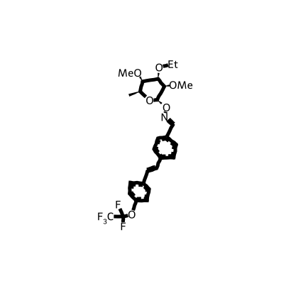 CCO[C@@H]1[C@H](OC)[C@H](ON=Cc2ccc(C=Cc3ccc(OC(F)(F)C(F)(F)F)cc3)cc2)O[C@@H](C)[C@@H]1OC